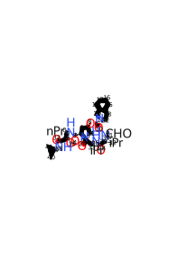 CCCC(NC(=O)[C@@H]1C[C@@H](OC(=O)N2CCc3ccccc3C2)CN1C(=O)[C@@H](NC(=O)[C@H](NC=O)C(C)C)C(C)C)C(=O)C(=O)NC1CC1